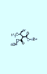 CCCCOC(=O)C(C(=O)OCCCC)C(C)C(C)C